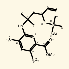 C=CC(CC(C)(C)Nc1nc(C(=O)OC)c([N+](=O)[O-])cc1C(F)(F)F)O[Si](C)(C)C(C)(C)C